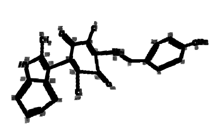 COc1ccc(CNC2=C(Cl)C(=O)C(c3c(C)[nH]c4ccccc34)=C(Cl)C2=O)cc1